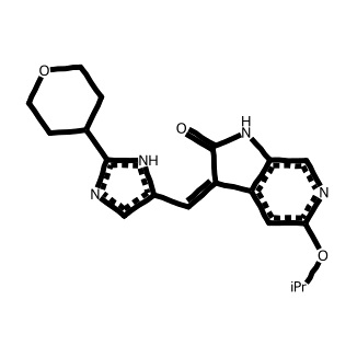 CC(C)Oc1cc2c(cn1)NC(=O)/C2=C\c1cnc(C2CCOCC2)[nH]1